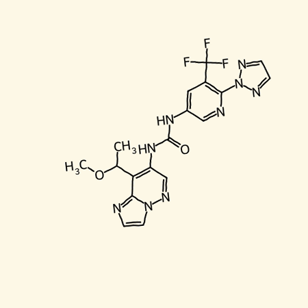 COC(C)c1c(NC(=O)Nc2cnc(-n3nccn3)c(C(F)(F)F)c2)cnn2ccnc12